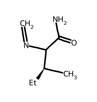 C=NC(C(N)=O)[C@@H](C)CC